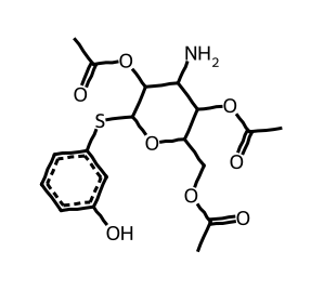 CC(=O)OCC1OC(Sc2cccc(O)c2)C(OC(C)=O)C(N)C1OC(C)=O